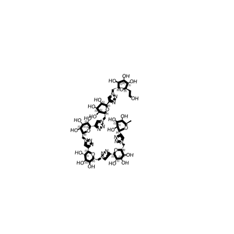 C[C@H]1O[C@H](c2cn(C[C@H]3O[C@@H](c4cn(C[C@H]5O[C@@H](c6cn(C[C@H]7O[C@@H](c8cn(C[C@H]9O[C@H](c%10cn(C[C@H]%11O[C@H](CCO)[C@@H](O)[C@@H](O)[C@@H]%11O)nn%10)[C@@H](O)[C@@H](O)[C@@H]9O)nn8)[C@@H](O)[C@@H](O)[C@@H]7O)nn6)[C@@H](O)[C@@H](O)[C@@H]5O)nn4)[C@@H](O)[C@@H](O)[C@@H]3O)nn2)[C@@H](O)[C@@H](O)[C@@H]1O